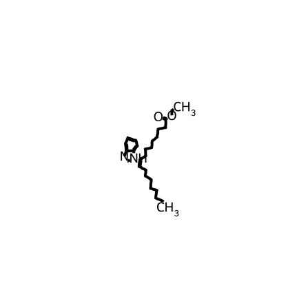 CCCCCCCC/C=C\CCCCCCCC(=O)OCC.c1ccc2[nH]cnc2c1